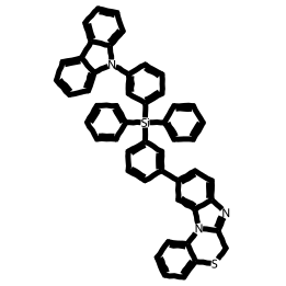 c1ccc([Si](c2ccccc2)(c2cccc(-c3ccc4nc5n(c4c3)-c3ccccc3SC5)c2)c2cccc(-n3c4ccccc4c4ccccc43)c2)cc1